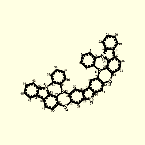 c1ccc2c(c1)B1c3cc4c(cc3Sc3ccc5c6ccccc6n-2c5c31)oc1cc2c(cc14)B1c3ccccc3-n3c4ccccc4c4ccc(c1c43)S2